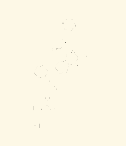 Nc1nc(C(=O)N2Cc3ccccc3C2)c2cc(-c3ccccc3S(=O)(=O)N3CCCC3OC(=O)NCCO)ccc2n1